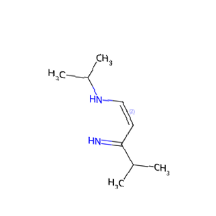 CC(C)N/C=C\C(=N)C(C)C